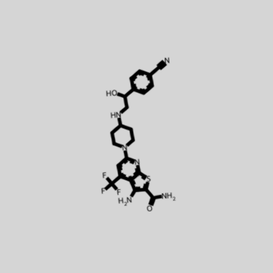 N#Cc1ccc(C(O)CNC2CCN(c3cc(C(F)(F)F)c4c(N)c(C(N)=O)sc4n3)CC2)cc1